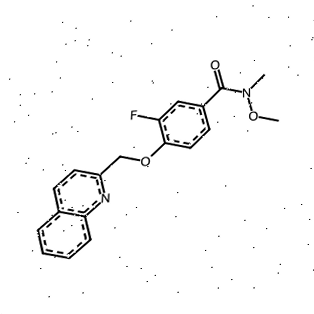 CON(C)C(=O)c1ccc(OCc2ccc3ccccc3n2)c(F)c1